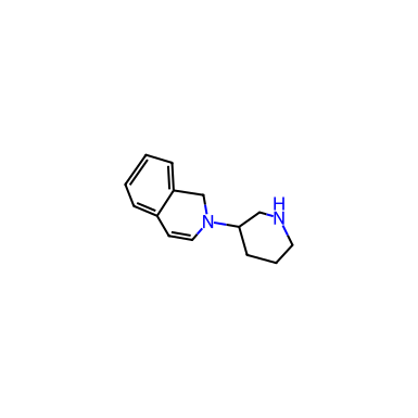 C1=CN(C2CCCNC2)Cc2ccccc21